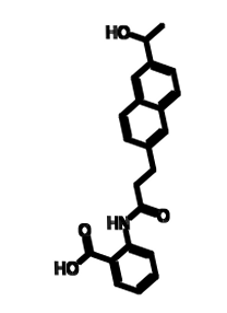 CC(O)c1ccc2cc(CCC(=O)Nc3ccccc3C(=O)O)ccc2c1